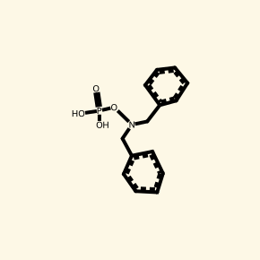 O=P(O)(O)ON(Cc1ccccc1)Cc1ccccc1